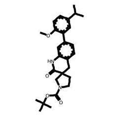 COc1ccc(C(C)C)cc1-c1ccc2c(c1)NC(=O)C1(CCN(C(=O)OC(C)(C)C)C1)C2